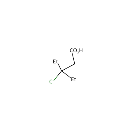 CCC(Cl)(CC)CC(=O)O